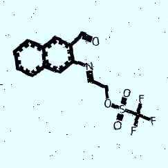 O=Cc1cc2ccccc2cc1N=CCOS(=O)(=O)C(F)(F)F